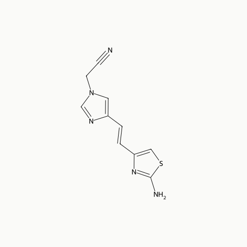 N#CCn1cnc(C=Cc2csc(N)n2)c1